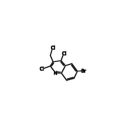 ClCc1c(Cl)nc2ccc(Br)cc2c1Cl